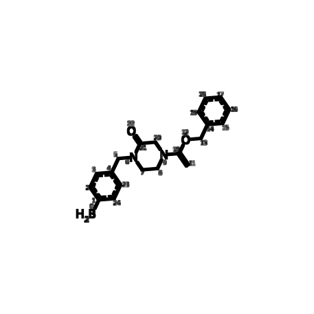 Bc1ccc(CN2CCN(C(=C)OCc3ccccc3)CC2=O)cc1